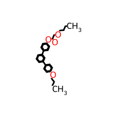 CCCCOCC(=O)Oc1ccc(-c2cccc(-c3ccc(OCCCC)cc3)c2)cc1